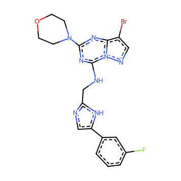 Fc1cccc(-c2cnc(CNc3nc(N4CCOCC4)nc4c(Br)cnn34)[nH]2)c1